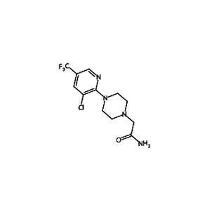 NC(=O)CN1CCN(c2ncc(C(F)(F)F)cc2Cl)CC1